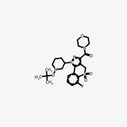 CC(C)(C)ON1CCCC(n2nc(C(=O)N3CCOCC3)c3c2-c2cccc(F)c2S(=O)(=O)C3)C1